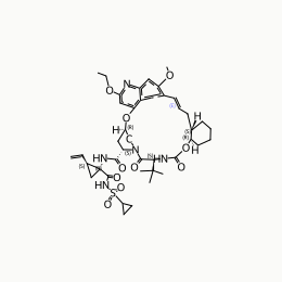 C=C[C@@H]1C[C@]1(NC(=O)[C@@H]1C[C@@H]2CN1C(=O)[C@H](C(C)(C)C)NC(=O)O[C@@H]1CCCC[C@H]1C/C=C/c1cc3c(cc(OCC)nc3cc1OC)O2)C(=O)NS(=O)(=O)C1CC1